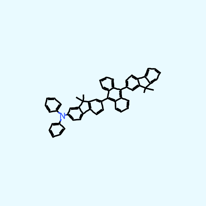 CC1(C)c2ccccc2-c2ccc(-c3c4ccccc4c(-c4ccc5c(c4)C(C)(C)c4cc(N(c6ccccc6)c6ccccc6)ccc4-5)c4ccccc34)cc21